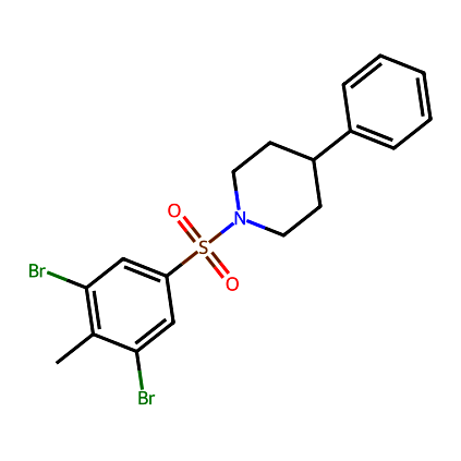 Cc1c(Br)cc(S(=O)(=O)N2CCC(c3ccccc3)CC2)cc1Br